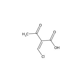 CC(=O)C(=CCl)C(=O)O